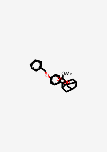 COC(=O)C12CC3CC(C1)C(O)(c1ccc(OCc4ccccc4)cc1)C(C3)C2